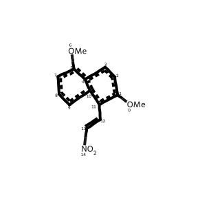 COc1ccc2c(OC)cccc2c1C=C[N+](=O)[O-]